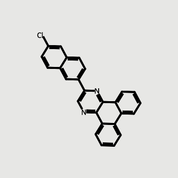 Clc1ccc2cc(-c3cnc4c5ccccc5c5ccccc5c4n3)ccc2c1